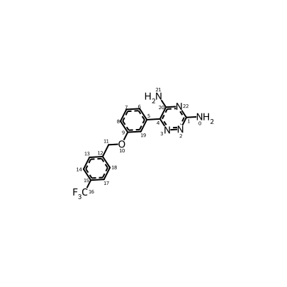 Nc1nnc(-c2cccc(OCc3ccc(C(F)(F)F)cc3)c2)c(N)n1